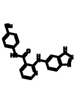 CC(C)(C)c1ccc(NC(=O)c2cccnc2Nc2ccc3nn[nH]c3c2)cc1